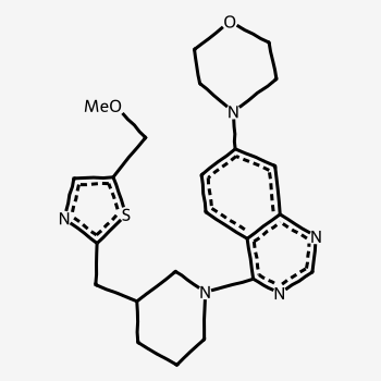 COCc1cnc(CC2CCCN(c3ncnc4cc(N5CCOCC5)ccc34)C2)s1